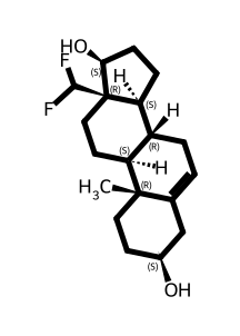 C[C@]12CC[C@H](O)CC1=CC[C@H]1[C@@H]3CC[C@H](O)[C@@]3(C(F)F)CC[C@@H]12